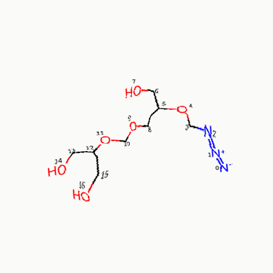 [N-]=[N+]=NCOC(CO)COCOC(CO)CO